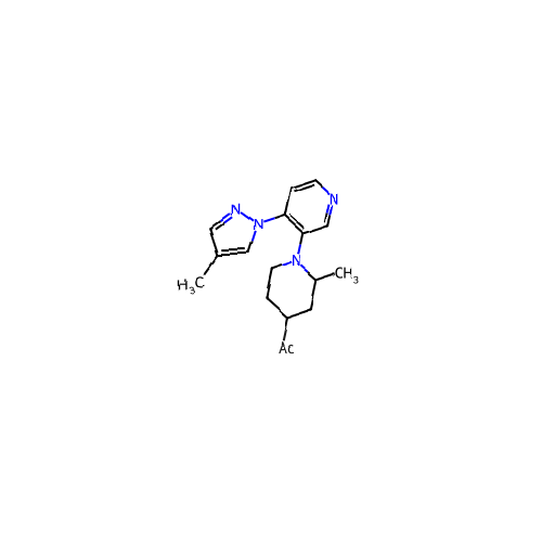 [CH2]C(=O)C1CCN(c2cnccc2-n2cc(C)cn2)C(C)C1